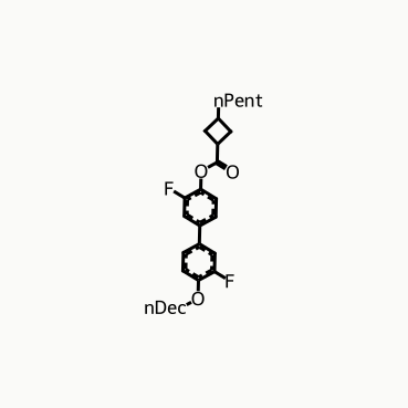 CCCCCCCCCCOc1ccc(-c2ccc(OC(=O)C3CC(CCCCC)C3)c(F)c2)cc1F